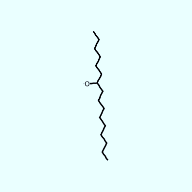 CCCCCCCCCC([O])CCCCCC